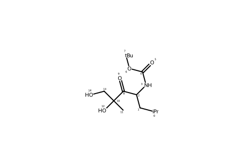 CC(C)CC(NC(=O)OC(C)(C)C)C(=O)C(C)(O)CO